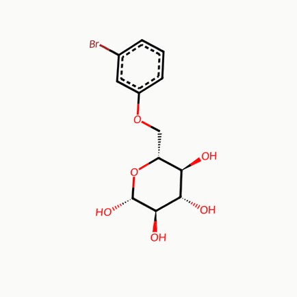 O[C@@H]1[C@@H](O)[C@H](O)O[C@H](COc2cccc(Br)c2)[C@H]1O